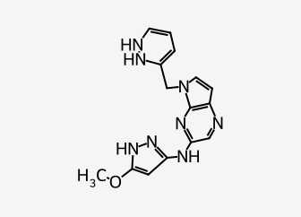 COc1cc(Nc2cnc3ccn(CC4=CC=CNN4)c3n2)n[nH]1